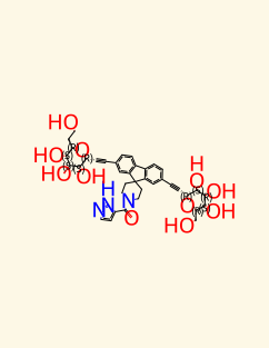 O=C(c1ccn[nH]1)N1CCC2(CC1)c1cc(C#C[C@H]3O[C@H](CO)[C@@H](O)[C@H](O)[C@@H]3O)ccc1-c1ccc(C#C[C@H]3O[C@H](CCO)[C@@H](O)[C@H](O)[C@@H]3O)cc12